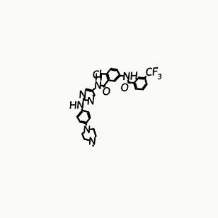 CN1CCN(c2ccc(Nc3ncc(NC(=O)c4cc(NC(=O)c5cccc(C(F)(F)F)c5)ccc4Cl)cn3)cc2)CC1